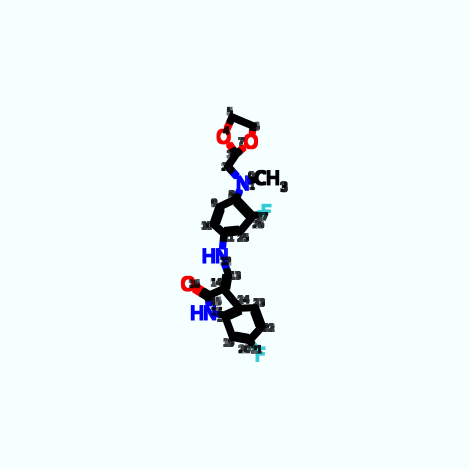 CN(CC1OCCO1)c1ccc(NC=C2C(=O)Nc3cc(F)ccc32)cc1F